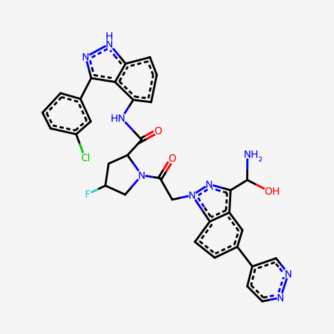 NC(O)c1nn(CC(=O)N2CC(F)CC2C(=O)Nc2cccc3[nH]nc(-c4cccc(Cl)c4)c23)c2ccc(-c3ccnnc3)cc12